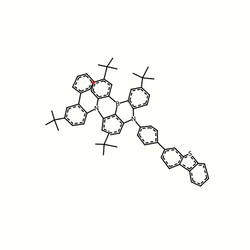 CC(C)(C)c1ccc2c(c1)B1c3cc(C(C)(C)C)ccc3N(c3ccc(C(C)(C)C)cc3-c3ccccc3)c3cc(C(C)(C)C)cc(c31)N2c1ccc(-c2ccc3c(c2)sc2ccccc23)cc1